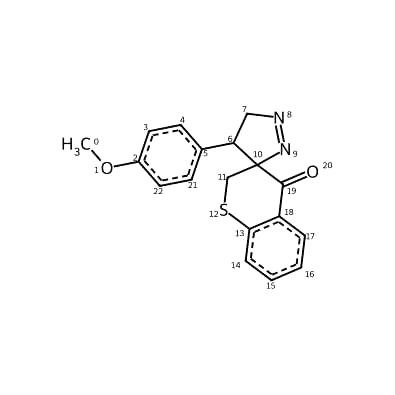 COc1ccc(C2CN=NC23CSc2ccccc2C3=O)cc1